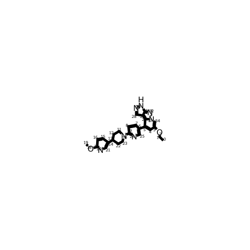 CCOc1cc(-c2ccc(N3CCC(c4ccc(OC)nc4)CC3)nc2)c2c3cn[nH]c3nn2c1